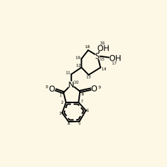 O=C1c2ccccc2C(=O)N1CC1CCS(O)(O)CC1